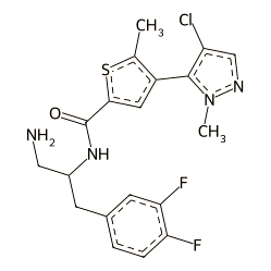 Cc1sc(C(=O)NC(CN)Cc2ccc(F)c(F)c2)cc1-c1c(Cl)cnn1C